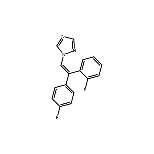 Fc1ccc(C(=Cn2cncn2)c2ccccc2F)cc1